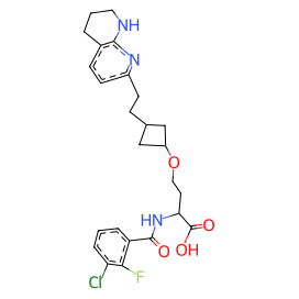 O=C(NC(CCOC1CC(CCc2ccc3c(n2)NCCC3)C1)C(=O)O)c1cccc(Cl)c1F